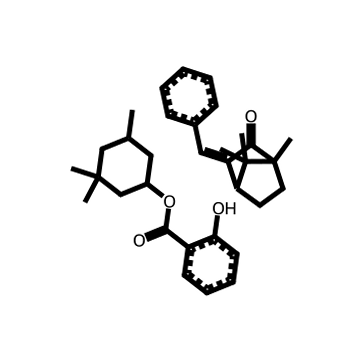 CC12CCC(/C(=C/c3ccccc3)C1=O)C2(C)C.CC1CC(OC(=O)c2ccccc2O)CC(C)(C)C1